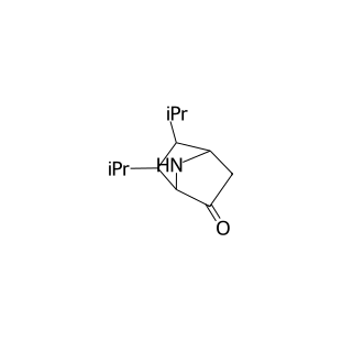 CC(C)C1C2CC(=O)C(N2)C1C(C)C